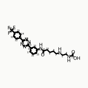 O=C(O)NCCNCCCCC(=O)Nc1cccc(-c2nnc(-c3ccc(C(F)(F)F)cc3)nn2)c1